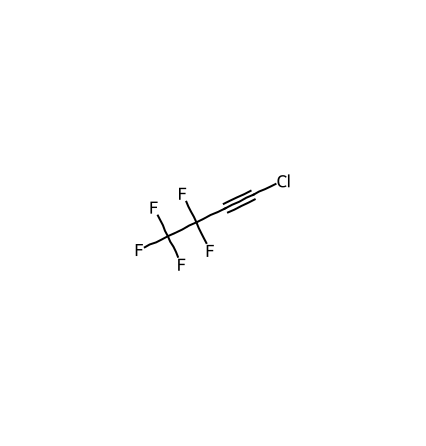 FC(F)(F)C(F)(F)C#CCl